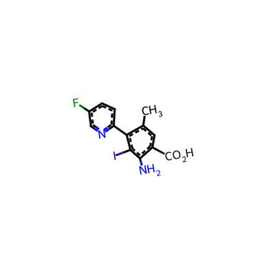 Cc1cc(C(=O)O)c(N)c(I)c1-c1ccc(F)cn1